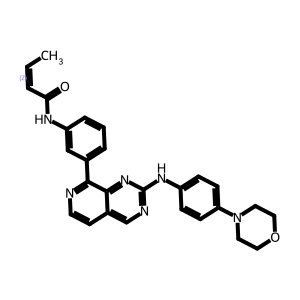 C/C=C\C(=O)Nc1cccc(-c2nccc3cnc(Nc4ccc(N5CCOCC5)cc4)nc23)c1